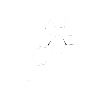 CC#Cc1ccc([C@H]2CC3CC[C@H](O3)[C@H]2C(=O)OC)cc1